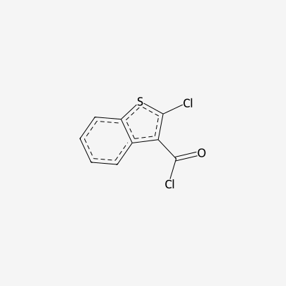 O=C(Cl)c1c(Cl)sc2ccccc12